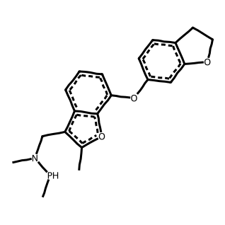 CPN(C)Cc1c(C)oc2c(Oc3ccc4c(c3)OCC4)cccc12